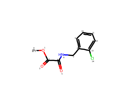 CC(C)OC(=O)C(=O)NCc1ccccc1Cl